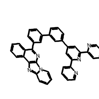 c1ccc(-c2cc(-c3cccc(-c4cccc(-c5nc6c(nc7ccccn76)c6ccccc56)c4)c3)cc(-c3ccccn3)n2)nc1